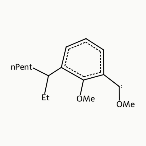 CCCCCC(CC)c1cccc([C]OC)c1OC